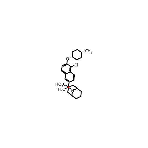 C[C@@H](c1ccc2c(Cl)c(O[C@H]3CC[C@@H](C)CC3)ccc2c1)N1C2CCCC1CC(C(=O)O)C2